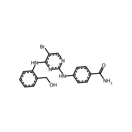 NC(=O)c1ccc(Nc2ncc(Br)c(Nc3ccccc3CO)n2)cc1